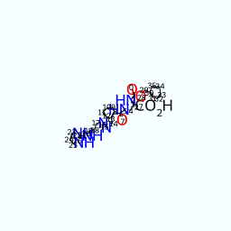 O=C(NC(CNC(=O)c1cccc2c1cnn2CCCNC1NC=CCN1)C(=O)O)OCc1ccccc1